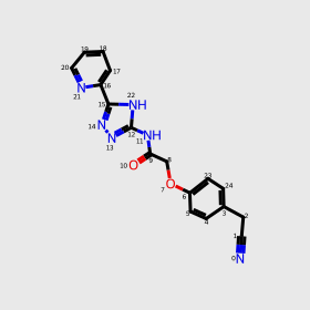 N#CCc1ccc(OCC(=O)Nc2nnc(-c3ccccn3)[nH]2)cc1